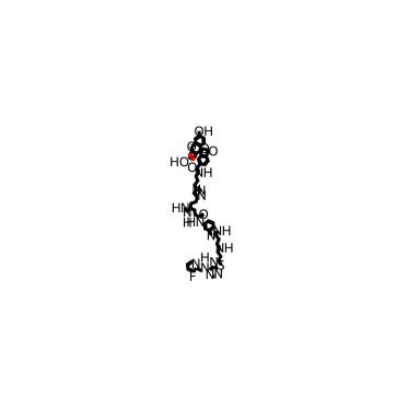 O=C(CCC1(CCc2cn(CCCNC(=O)c3ccc4c(c3)C3(OC4=O)c4ccc(O)cc4Oc4cc(O)ccc43)nn2)NN1)Nc1ccc2[nH]c(CCNCCc3nc4c(NCc5ncccc5F)ncnc4s3)nc2c1